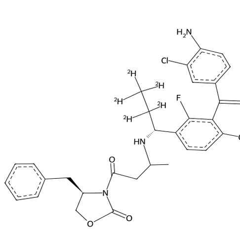 [2H]C([2H])([2H])C([2H])([2H])[C@@H](NC(C)CC(=O)N1C(=O)OC[C@H]1Cc1ccccc1)c1ccc(Cl)c(C(=O)c2ccc(N)c(Cl)c2)c1F